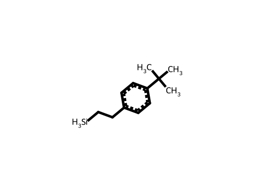 CC(C)(C)c1ccc(CC[SiH3])cc1